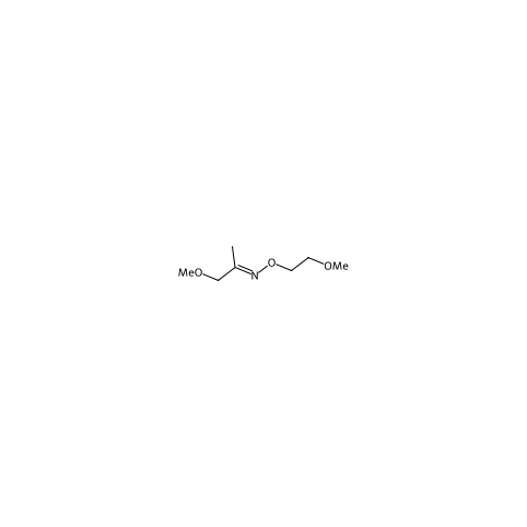 COCCO/N=C(\C)COC